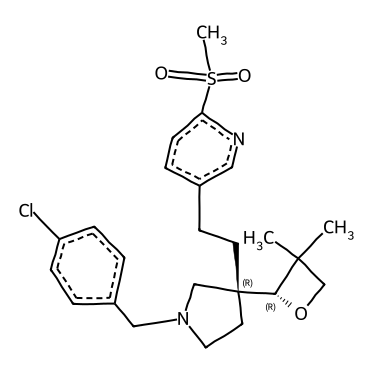 CC1(C)CO[C@@H]1[C@]1(CCc2ccc(S(C)(=O)=O)nc2)CCN(Cc2ccc(Cl)cc2)C1